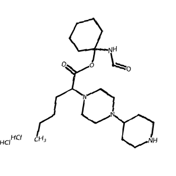 CCCCC(C(=O)OC1(NC=O)CCCCC1)N1CCN(C2CCNCC2)CC1.Cl.Cl